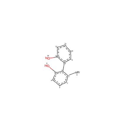 CCCc1cccc(O)c1-c1ccccc1O